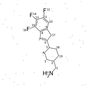 NCC1CCC(C2=Cc3c(cc(F)c(F)c3F)C2)CC1